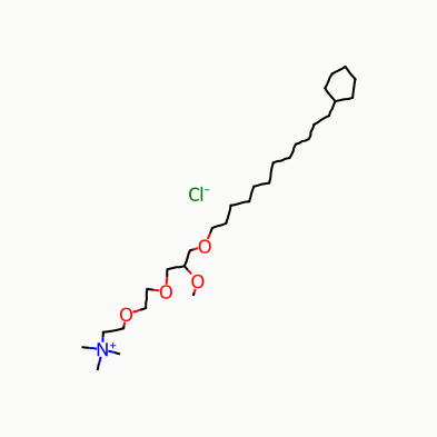 COC(COCCCCCCCCCCCCC1CCCCC1)COCCOCC[N+](C)(C)C.[Cl-]